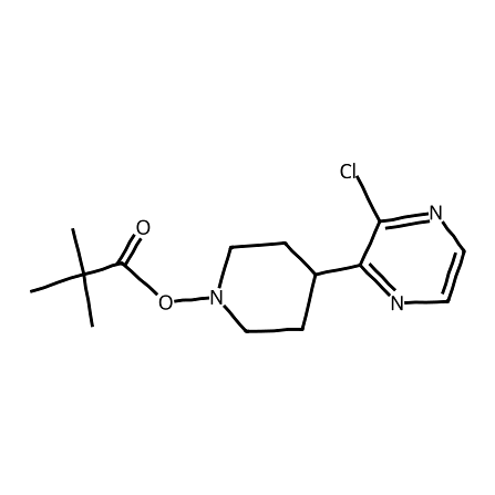 CC(C)(C)C(=O)ON1CCC(c2nccnc2Cl)CC1